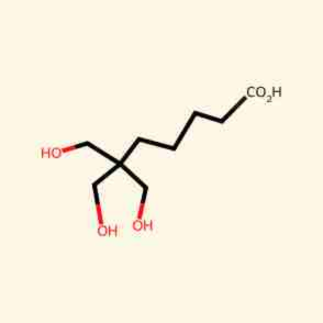 O=C(O)CCCCC(CO)(CO)CO